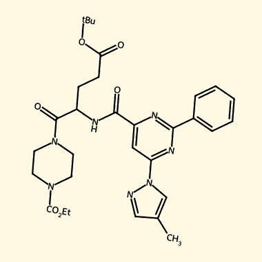 CCOC(=O)N1CCN(C(=O)C(CCC(=O)OC(C)(C)C)NC(=O)c2cc(-n3cc(C)cn3)nc(-c3ccccc3)n2)CC1